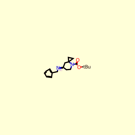 CC(C)(C)OC(=O)N1CC/C(=N\Cc2ccccc2)CC12CC2